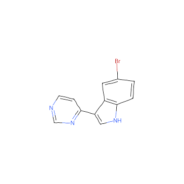 Brc1ccc2[nH]cc(-c3ccncn3)c2c1